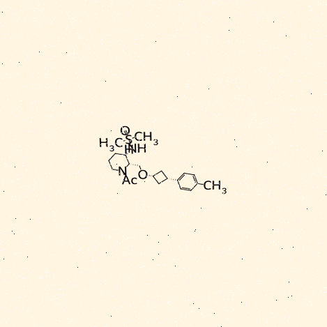 CC(=O)N1CCC[C@H](N[SH](C)(C)=O)[C@@H]1CO[C@H]1C[C@@H](c2ccc(C)cc2)C1